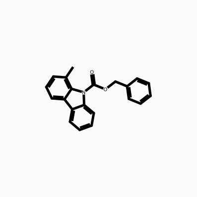 Cc1cccc2c3ccccc3n(C(=O)OCc3ccccc3)c12